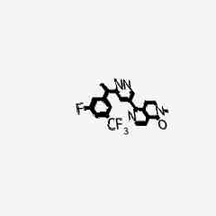 CC(c1cc(F)cc(C(F)(F)F)c1)c1cc(-c2nccc3c2CCN(C)C3=O)cnn1